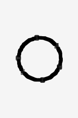 C1COCCSCCOCCOCCSCOC1